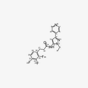 CCn1nc(-c2ccncc2)cc1NC(=O)CCc1ccc(F)c(F)c1F